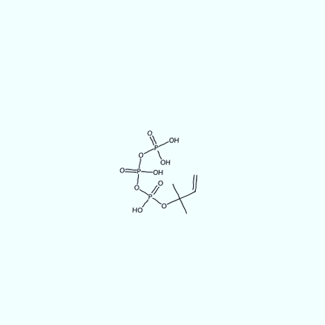 C=CC(C)(C)OP(=O)(O)OP(=O)(O)OP(=O)(O)O